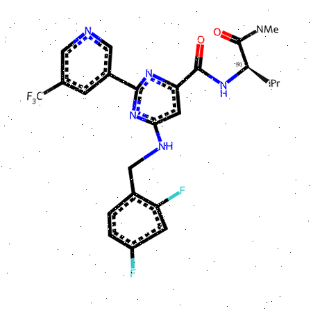 CNC(=O)[C@H](NC(=O)c1cc(NCc2ccc(F)cc2F)nc(-c2cncc(C(F)(F)F)c2)n1)C(C)C